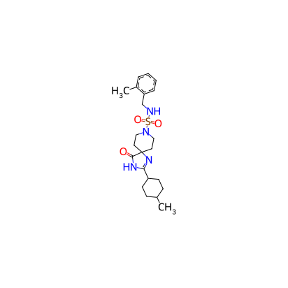 Cc1ccccc1CNS(=O)(=O)N1CCC2(CC1)N=C(C1CCC(C)CC1)NC2=O